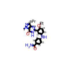 CCCc1nn(C)c2c(=O)[nH]c(-c3cc(Nc4ccc(C(N)=O)cc4)ccc3OCC)nc12